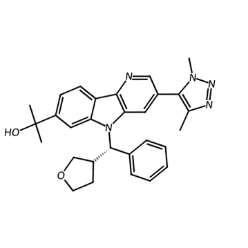 Cc1nnn(C)c1-c1cnc2c3ccc(C(C)(C)O)cc3n([C@H](c3ccccc3)C3CCOC3)c2c1